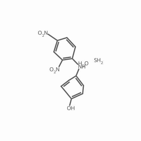 O.O=[N+]([O-])c1ccc(Nc2ccc(O)cc2)c([N+](=O)[O-])c1.S